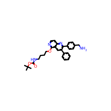 CC(C)(C)OC(=O)NCCCCOc1nccc2nc(-c3ccc(CN)cc3)c(-c3ccccc3)cc12